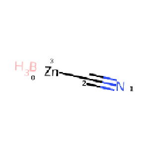 B.N#[C][Zn]